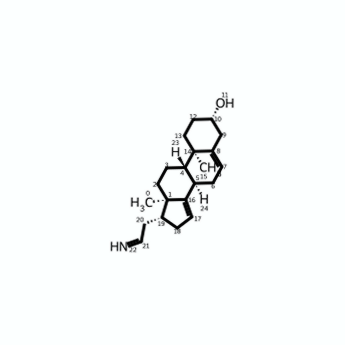 C[C@]12CC[C@H]3[C@@H](CC=C4C[C@@H](O)CC[C@@]43C)C1=CC[C@@H]2CC=N